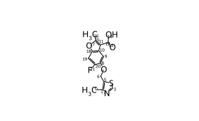 Cc1ncsc1COc1cc2c(C(=O)O)c(C)oc2cc1F